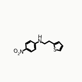 O=[N+]([O-])c1ccc(NCCc2cccs2)cc1